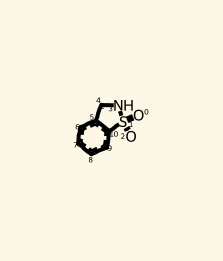 O=S1(=O)N[C]c2ccccc21